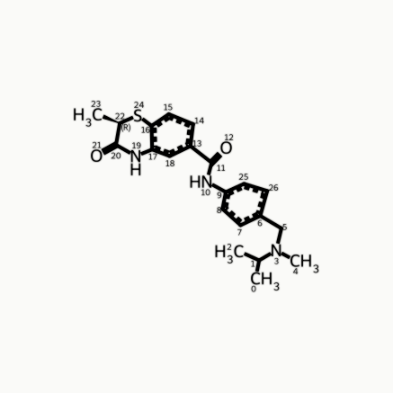 CC(C)N(C)Cc1ccc(NC(=O)c2ccc3c(c2)NC(=O)[C@@H](C)S3)cc1